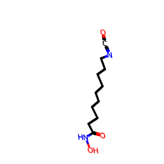 O=C=NCCCCCCCCCC(=O)NO